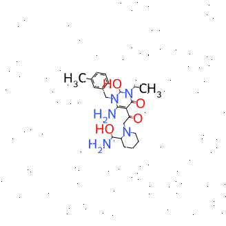 CCN1C(=O)C(C(=O)CN2CCCCC2C(N)O)=C(N)N(Cc2cccc(C)c2)C1O